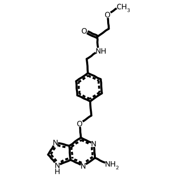 COCC(=O)NCc1ccc(COc2nc(N)nc3[nH]cnc23)cc1